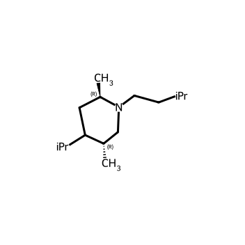 CC(C)CCN1C[C@H](C)C(C(C)C)C[C@H]1C